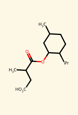 CC1CCC(C(C)C)C(OC(=O)C(C)CC(=O)O)C1